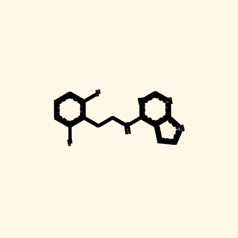 Fc1cccc(F)c1CCNc1ncnc2sccc12